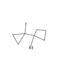 CCC1(C2(I)CC2)CCC1